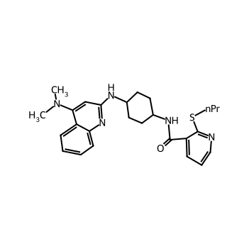 CCCSc1ncccc1C(=O)NC1CCC(Nc2cc(N(C)C)c3ccccc3n2)CC1